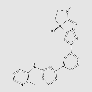 Cc1ncccc1Nc1nccc(-c2cccc(-c3cc([C@]4(O)CCN(C)C4=O)on3)c2)n1